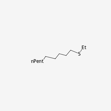 [CH2]CSCCCCCCCCCC